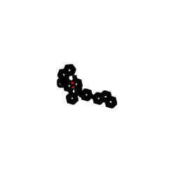 Cc1ccc(N(c2ccc(-c3ccc4c(ccc5ccccc54)c3)cc2)c2ccccc2-c2ccc3c(c2)oc2ccc4ccccc4c23)cc1